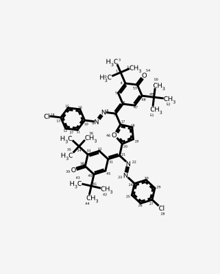 CC(C)(C)C1=CC(=C(/N=N/c2ccc(Cl)cc2)c2ccc(C(/N=N/c3ccc(Cl)cc3)=C3C=C(C(C)(C)C)C(=O)C(C(C)(C)C)=C3)o2)C=C(C(C)(C)C)C1=O